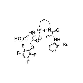 CC(C)(C)c1ccccc1NC(=O)C(=O)N1CCCCC[C@H](C(=O)N[C@@H](CC(=O)O)C(=O)COc2c(F)c(F)cc(F)c2F)C1